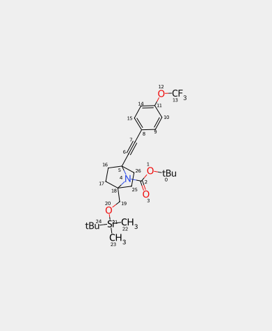 CC(C)(C)OC(=O)N1C2(C#Cc3ccc(OC(F)(F)F)cc3)CCC1(CO[Si](C)(C)C(C)(C)C)CC2